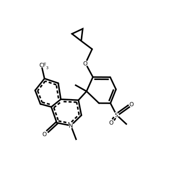 Cn1cc(C2(C)CC(S(C)(=O)=O)=CC=C2OCC2CC2)c2cc(C(F)(F)F)ccc2c1=O